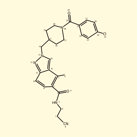 Cc1c(C(=O)NCCC#N)ccc2nn(CC3CCN(C(=O)c4ccc(Cl)cc4)CC3)cc12